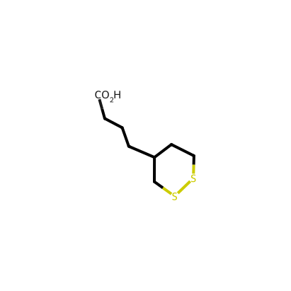 O=C(O)CCCC1CCSSC1